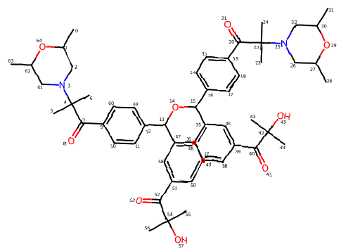 CC1CN(C(C)(C)C(=O)c2ccc(C(OC(c3ccc(C(=O)C(C)(C)N4CC(C)OC(C)C4)cc3)c3cccc(C(=O)C(C)(C)O)c3)c3cccc(C(=O)C(C)(C)O)c3)cc2)CC(C)O1